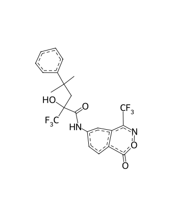 CC(C)(CC(O)(C(=O)Nc1ccc2c(=O)onc(C(F)(F)F)c2c1)C(F)(F)F)c1ccccc1